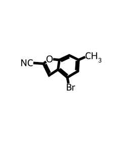 Cc1cc(Br)c2cc(C#N)oc2c1